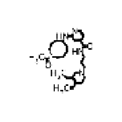 C=CC1=C(C=C)CN(CCCNC(=O)c2ccnc(NC3CCCCN(C(C)=O)CCC3)c2)CC1